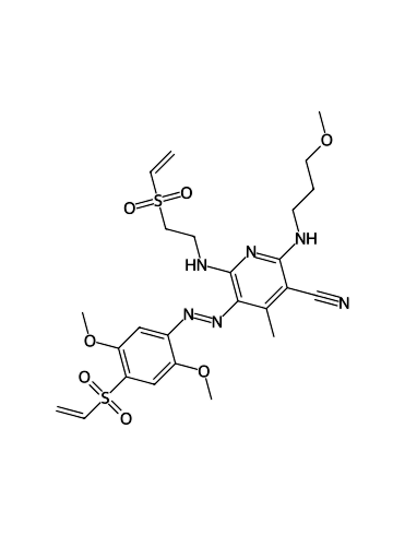 C=CS(=O)(=O)CCNc1nc(NCCCOC)c(C#N)c(C)c1/N=N/c1cc(OC)c(S(=O)(=O)C=C)cc1OC